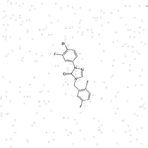 O=c1n(Cc2cc(F)ccc2F)cnn1-c1ccc(Br)c(F)c1